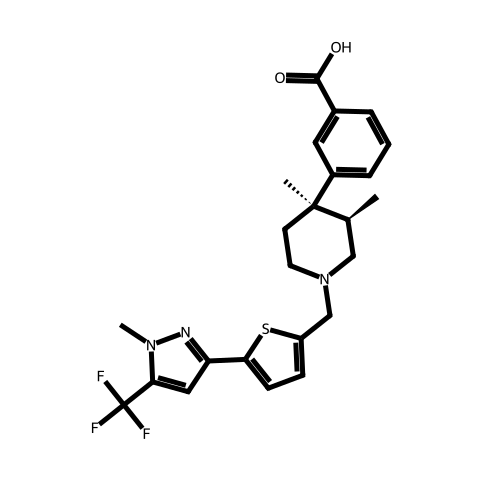 C[C@H]1CN(Cc2ccc(-c3cc(C(F)(F)F)n(C)n3)s2)CC[C@@]1(C)c1cccc(C(=O)O)c1